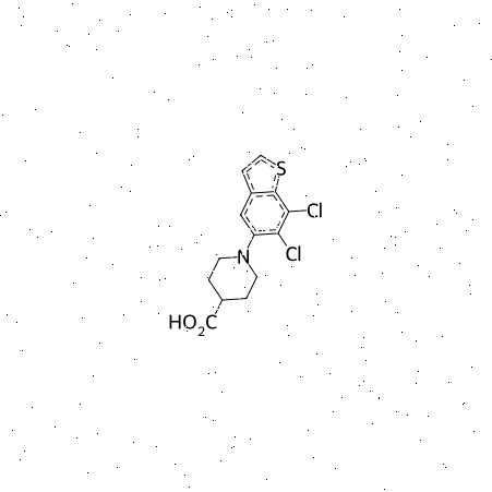 O=C(O)C1CCN(c2cc3ccsc3c(Cl)c2Cl)CC1